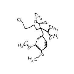 COC(=O)C(CCCCl)(c1ccc(OC)c(OC)c1)C(C)C